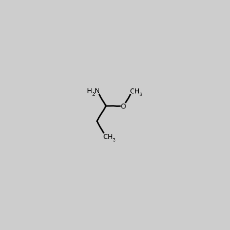 CC[C](N)OC